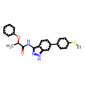 CCSc1ccc(-c2ccc3c(NC(=O)C(C)Oc4ccccc4)n[nH]c3c2)cc1